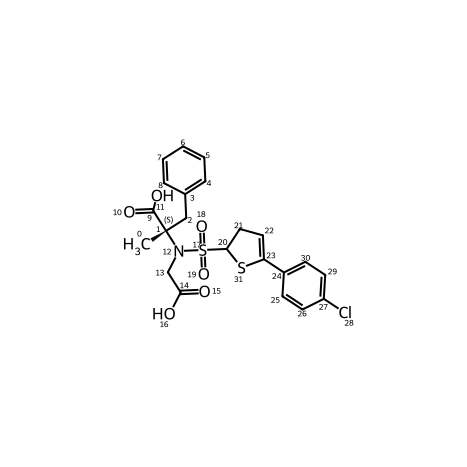 C[C@](Cc1ccccc1)(C(=O)O)N(CC(=O)O)S(=O)(=O)C1CC=C(c2ccc(Cl)cc2)S1